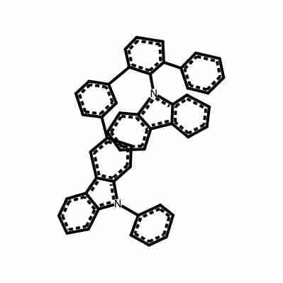 c1ccc(-c2cccc(-c3cccc(-c4ccc5c(c4)c4ccccc4n5-c4ccccc4)c3)c2-n2c3ccccc3c3ccccc32)cc1